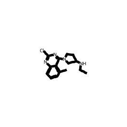 CCNC1CCN(c2nc(Cl)nc3cccc(C)c23)C1